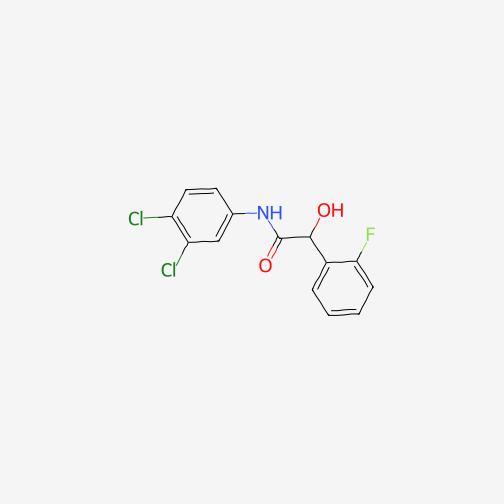 O=C(Nc1ccc(Cl)c(Cl)c1)C(O)c1ccccc1F